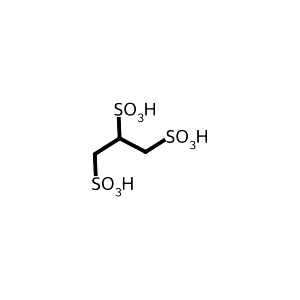 O=S(=O)(O)CC(CS(=O)(=O)O)S(=O)(=O)O